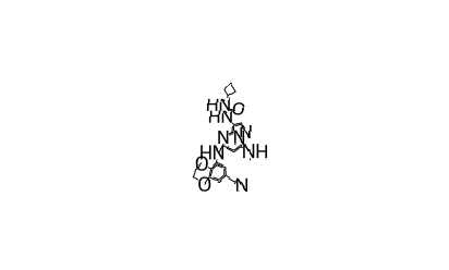 CNc1cc(Nc2cc(C#N)cc3c2OCCO3)nc2c(NC(=O)NC3CCC3)cnn12